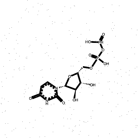 O=c1ccn([C@@H]2O[C@H](COP(=O)(O)O[PH](=O)O)[C@H](O)[C@H]2O)c(=O)[nH]1